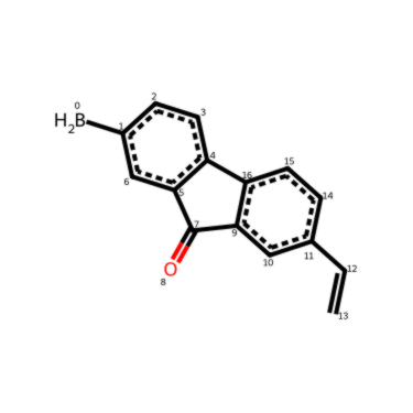 Bc1ccc2c(c1)C(=O)c1cc(C=C)ccc1-2